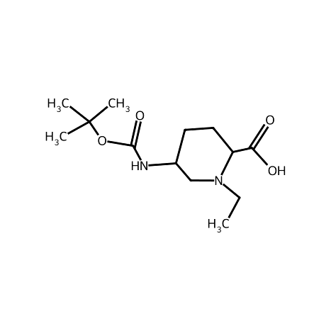 CCN1CC(NC(=O)OC(C)(C)C)CCC1C(=O)O